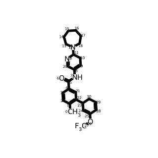 Cc1ccc(C(=O)NC2=CCC(N3CCCCCC3)N=C2)cc1C1C=C(OC(F)(F)F)C=CC1